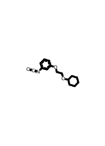 O=C=Nc1cccc(OCCOC2CCCCC2)c1